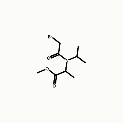 COC(=O)C(C)N(C(=O)CBr)C(C)C